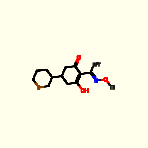 CCC/C(=N\OCC)C1=C(O)CC(C2CCCSC2)CC1=O